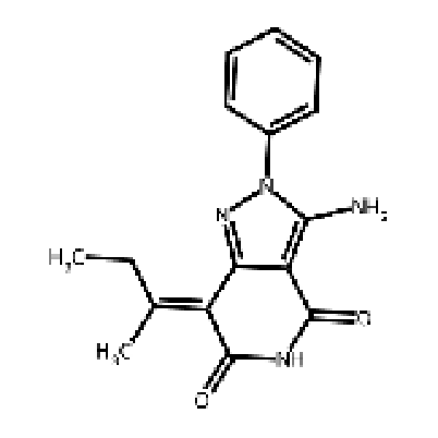 CC/C(C)=C1/C(=O)NC(=O)c2c1nn(-c1ccccc1)c2N